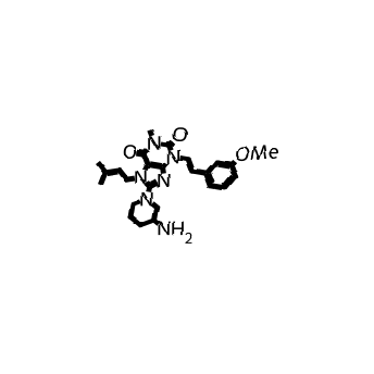 COc1cccc(CCn2c(=O)n(C)c(=O)c3c2nc(N2CCCC(N)C2)n3CC=C(C)C)c1